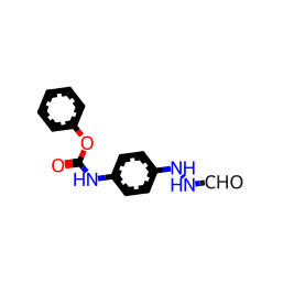 O=CNNc1ccc(NC(=O)Oc2ccccc2)cc1